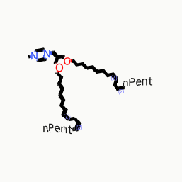 CCCCC/C=C\C/C=C\CCCCCCCCOCC(COCCCCCCCC/C=C\C/C=C\CCCCC)CN1CCN(C)CC1